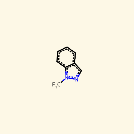 FC(F)(F)n1ncc2c[c]ccc21